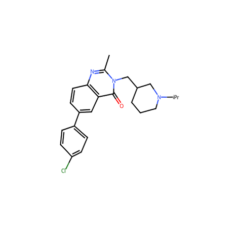 Cc1nc2ccc(-c3ccc(Cl)cc3)cc2c(=O)n1CC1CCCN(C(C)C)C1